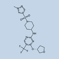 Cn1cc(S(=O)(=O)N2CCC(Nc3ncc(C(F)(F)F)c(O[C@@H]4CCOC4)n3)CC2)cn1